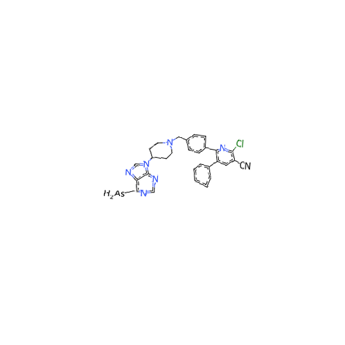 N#Cc1cc(-c2ccccc2)c(-c2ccc(CN3CCC(n4cnc5c([AsH2])ncnc54)CC3)cc2)nc1Cl